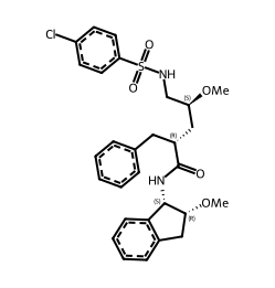 CO[C@H](CNS(=O)(=O)c1ccc(Cl)cc1)C[C@@H](Cc1ccccc1)C(=O)N[C@H]1c2ccccc2C[C@H]1OC